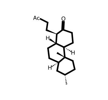 CC(=O)CC[C@H]1C(=O)CC[C@@H]2[C@@H]1CC[C@@H]1C[C@@H](C)CC[C@]12C